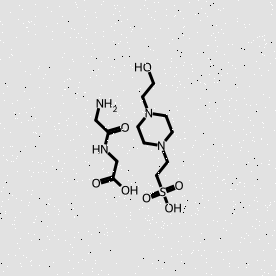 NCC(=O)NCC(=O)O.O=S(=O)(O)CCN1CCN(CCO)CC1